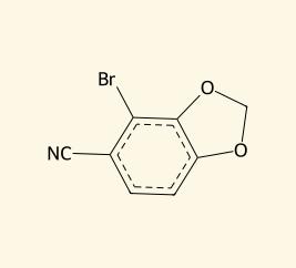 N#Cc1ccc2c(c1Br)OCO2